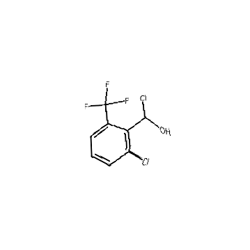 OC(Cl)c1c(Cl)cccc1C(F)(F)F